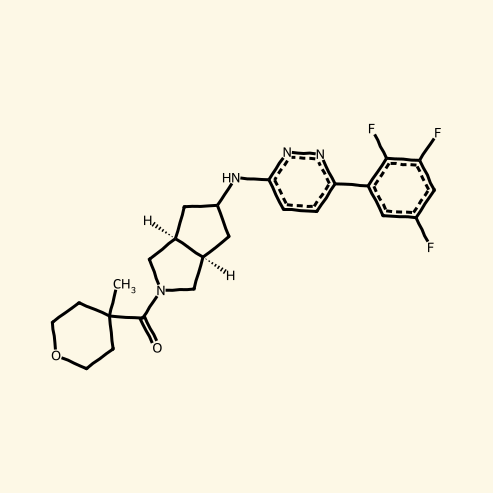 CC1(C(=O)N2C[C@H]3CC(Nc4ccc(-c5cc(F)cc(F)c5F)nn4)C[C@H]3C2)CCOCC1